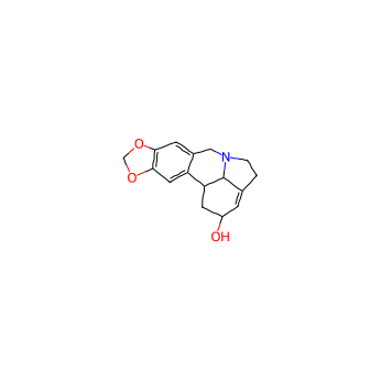 OC1C=C2CCN3Cc4cc5c(cc4C(C1)C23)OCO5